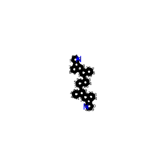 c1cnc2c(c1)-c1cccc3c1c-2cc1c2ccccc2c(-c2cccc4c(-c5cc6c7cccc8c7c(cc6c6ccccc56)-c5ncccc5-8)cccc24)cc31